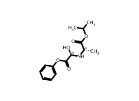 CC(C)OC(=O)[C@H](C)N[C@H](O)C(=O)Oc1ccccc1